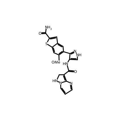 COc1cc2sc(C(N)=O)cc2cc1-c1n[nH]cc1NC(=O)C1=C2N=CC=CN2NC1